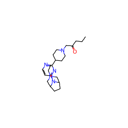 CCCC(=O)CN1CCC(c2nccc(N3C4CCC3CN(CC)C4)n2)CC1